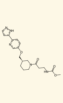 COC(=O)NCCC(=O)N1CCC[C@@H](COc2ccc(-c3ccn[nH]3)nc2)C1